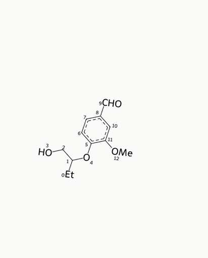 CCC(CO)Oc1ccc(C=O)cc1OC